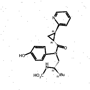 CC[C@H](C)[C@@H](CN(C(=O)[C@@H]1C[C@H]1c1ccccn1)c1ccc(O)cc1)NC(=O)O